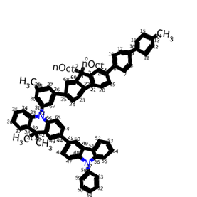 CCCCCCCCC1(CCCCCCCC)c2cc(-c3ccc(-c4ccc(C)cc4)cc3)ccc2-c2ccc(-c3cc(C)cc(N4c5ccccc5C(C)(C)c5cc(-c6ccc7c(c6)c6ccccc6n7-c6ccccc6)ccc54)c3)cc21